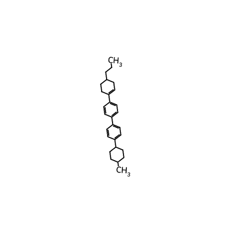 CCCC1CC=C(c2ccc(-c3ccc(C4CCC(C)CC4)cc3)cc2)CC1